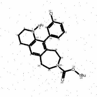 CCCN1CCCc2cc3c(c(-c4cccc(Cl)c4)c21)CCN(C(=O)OC(C)(C)C)CC3